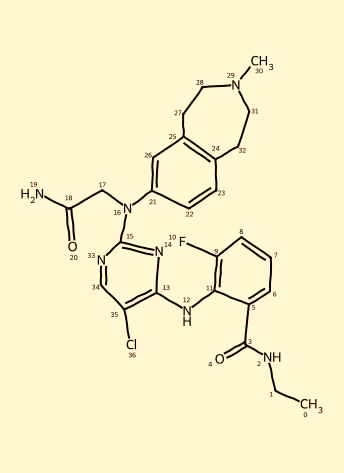 CCNC(=O)c1cccc(F)c1Nc1nc(N(CC(N)=O)c2ccc3c(c2)CCN(C)CC3)ncc1Cl